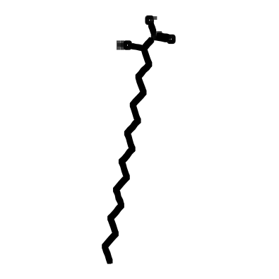 CCCCCCCCCCCCCCCC(O)[N+](=O)[O-]